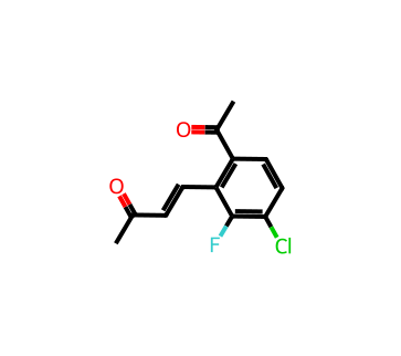 CC(=O)/C=C/c1c(C(C)=O)ccc(Cl)c1F